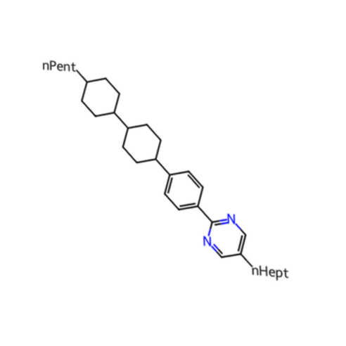 CCCCCCCc1cnc(-c2ccc(C3CCC(C4CCC(CCCCC)CC4)CC3)cc2)nc1